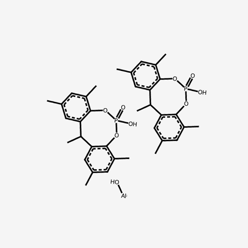 Cc1cc(C)c2c(c1)C(C)c1cc(C)cc(C)c1OP(=O)(O)O2.Cc1cc(C)c2c(c1)C(C)c1cc(C)cc(C)c1OP(=O)(O)O2.[OH][Al]